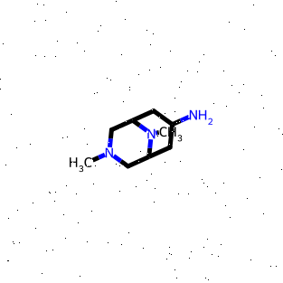 CN1CC2CC(N)CC(C1)N2C